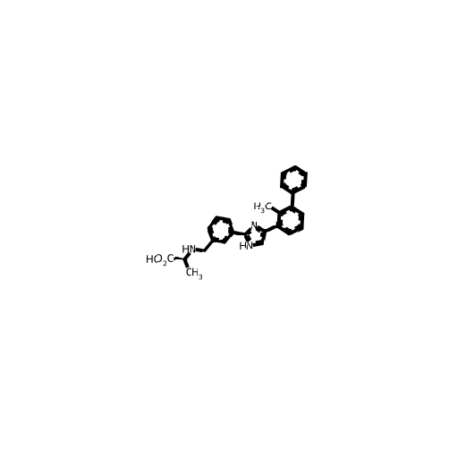 Cc1c(-c2ccccc2)cccc1-c1c[nH]c(-c2cccc(CN[C@@H](C)C(=O)O)c2)n1